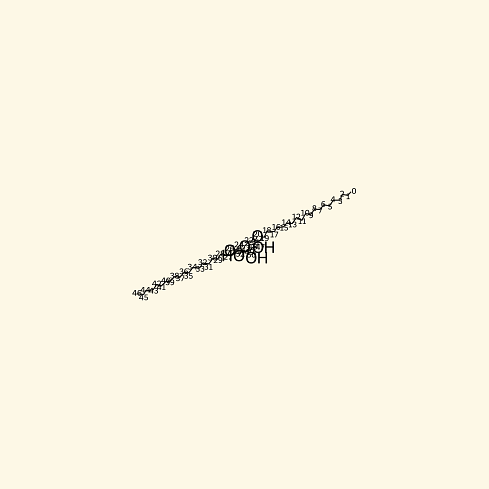 CCCCCCCCCCCCCCCCCCCCOCCOCCOCCCCCCCCCCCCCCCCCCCC.OCC(O)CO